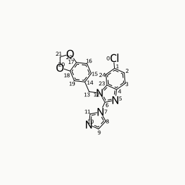 Clc1ccc2nc(-n3ccnc3)n(Cc3ccc4c(c3)OCO4)c2c1